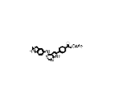 COCC(=O)C1CC=C(c2cc3c(Nc4ccc5[nH]ncc5c4)ncnc3[nH]2)CC1